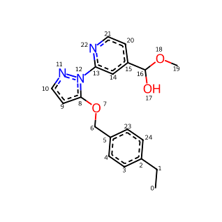 CCc1ccc(COc2ccnn2-c2cc(C(O)OC)ccn2)cc1